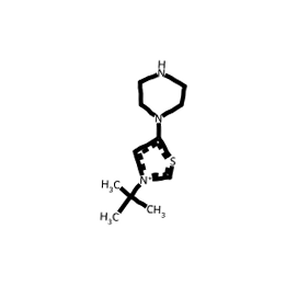 CC(C)(C)[n+]1csc(N2CCNCC2)c1